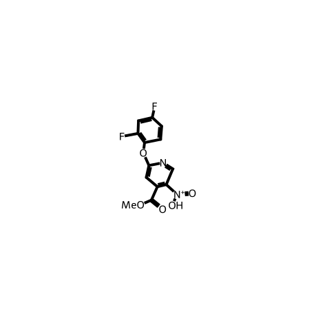 COC(=O)c1cc(Oc2ccc(F)cc2F)ncc1[N+](=O)O